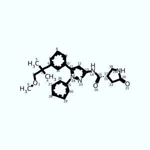 COCC(C)(C)c1cccc(-c2cc(NC(=O)[C@@H]3CNC(=O)C3)nn2-c2ccccc2)c1